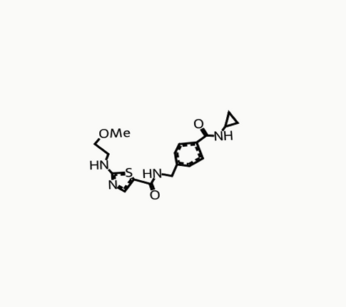 COCCNc1ncc(C(=O)NCc2ccc(C(=O)NC3CC3)cc2)s1